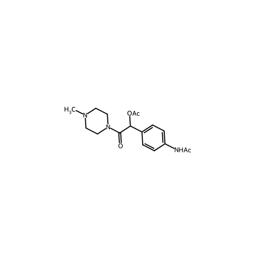 CC(=O)Nc1ccc(C(OC(C)=O)C(=O)N2CCN(C)CC2)cc1